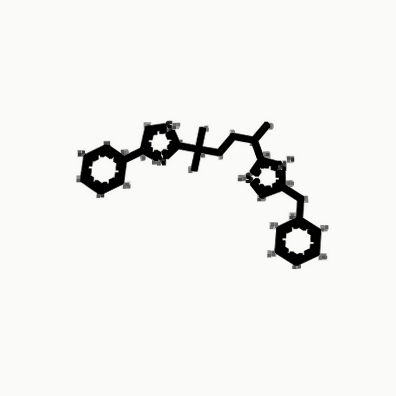 CC(CCC(C)(C)c1nc(-c2ccccc2)cs1)c1nc(Cc2ccccc2)cs1